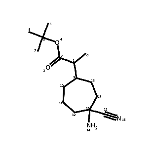 CC(C(=O)OC(C)(C)C)C1CCCC(N)(C#N)CC1